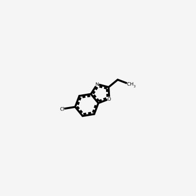 CCc1nc2cc(Cl)ccc2o1